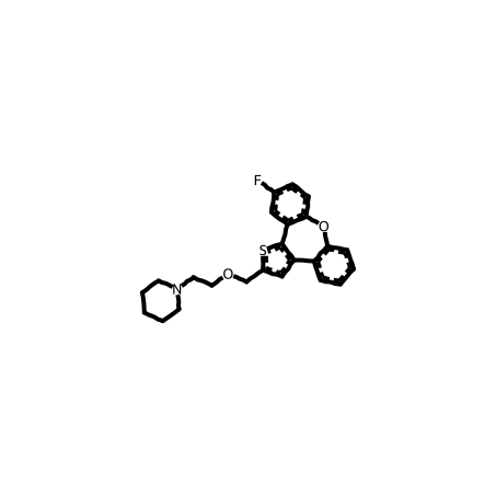 Fc1ccc2c(c1)-c1sc(COCCN3CCCCC3)cc1-c1ccccc1O2